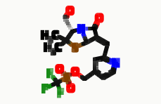 CC1(C)SC2/C(=C\c3cc(COS(=O)(=O)C(F)(F)F)ccn3)C(=O)N2[C@H]1C=O